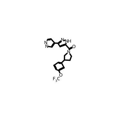 O=C(c1cc(-c2ccnnc2)n[nH]1)N1CCC(c2cccc(OC(F)(F)F)c2)C1